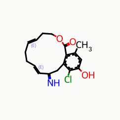 Cc1cc(O)c(Cl)c2c1C(=O)OCC/C=C/CC/C=C/C(=N)C2